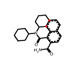 NC(=O)c1ccc2ccccc2c1C(=O)N(C1CCCCC1)C1CCCCC1